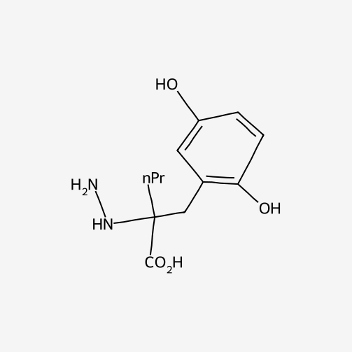 CCCC(Cc1cc(O)ccc1O)(NN)C(=O)O